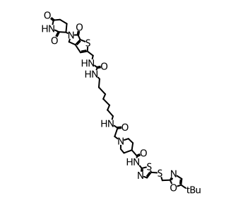 CC(C)(C)c1cnc(CSc2cnc(NC(=O)C3CCN(CC(=O)NCCCCCCCNC(=O)NCc4cc5c(s4)C(=O)N(C4CCC(=O)NC4=O)C5)CC3)s2)o1